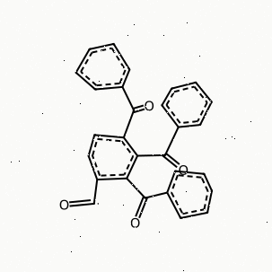 O=[C]c1ccc(C(=O)c2ccccc2)c(C(=O)c2ccccc2)c1C(=O)c1ccccc1